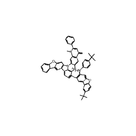 C=C1C=C(c2ccccc2)N(C)c2cc3c(cc21)Bc1c(-c2cc4c(cc2Nc2ccc(C(C)(C)C)cc2)oc2ccc(C(C)(C)C)cc24)ccc2c4cc5c(cc4n-3c12)oc1ccccc15